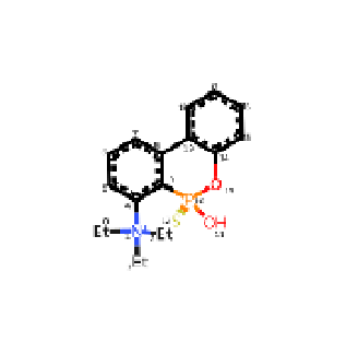 CC[N+](CC)(CC)c1cccc2c1P(O)(=S)Oc1ccccc1-2